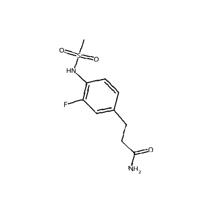 CS(=O)(=O)Nc1ccc(CCC(N)=O)cc1F